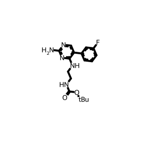 CC(C)(C)OC(=O)NCCNc1nc(N)ncc1-c1cccc(F)c1